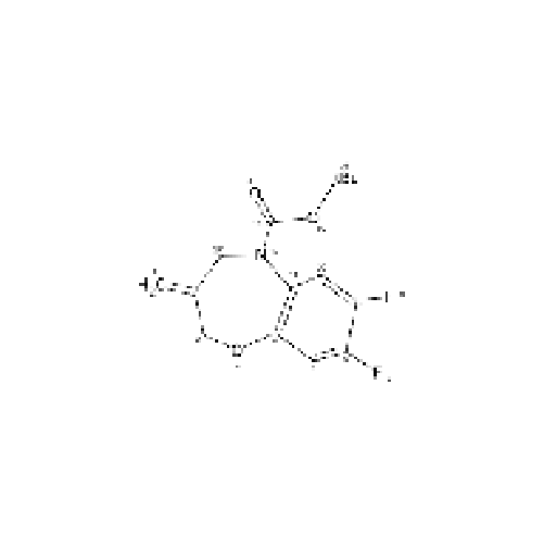 C=C1COc2cc(F)c(F)cc2N(C(=O)OC(C)(C)C)C1